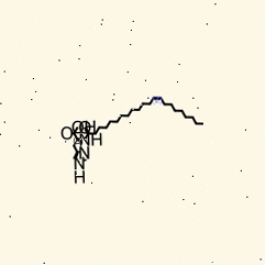 CCCCCCCC/C=C\CCCCCCCCCCCC(=O)N[C@@H](Cc1c[nH]cn1)C(=O)O